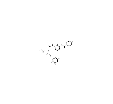 CC(C(=O)N[C@@H](CC(=O)OC(C)(C)C)C(=O)COc1c(F)c(F)cc(F)c1F)n1cccc(NC(=O)c2ccc(N)c(Cl)c2)c1=O